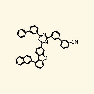 N#Cc1cccc(-c2cccc(-c3nc(-c4cccc(-c5ccccc5)c4)nc(-c4ccc5c(c4)oc4cccc(-c6ccc7ccccc7c6)c45)n3)c2)c1